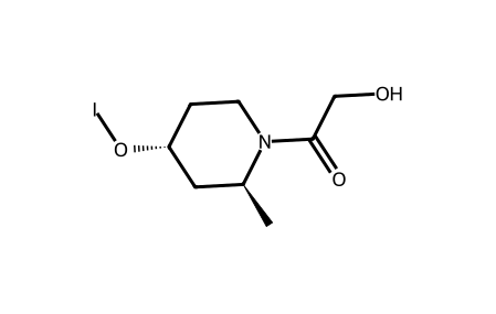 C[C@H]1C[C@H](OI)CCN1C(=O)CO